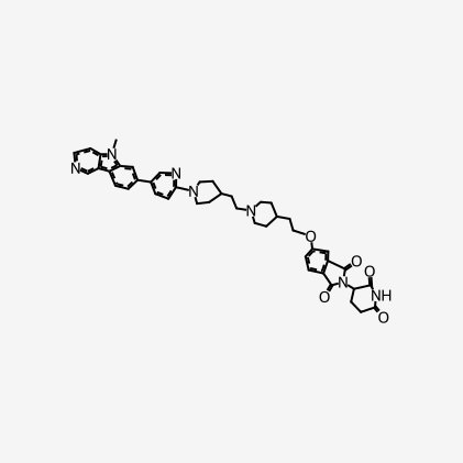 Cn1c2ccncc2c2ccc(-c3ccc(N4CCC(CCN5CCC(CCOc6ccc7c(c6)C(=O)N(C6CCC(=O)NC6=O)C7=O)CC5)CC4)nc3)cc21